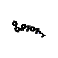 CN(C)C/C=C/C(=O)Nc1ccc(C(=O)Nc2cccc(Nc3cc(-c4ccncc4)ncn3)c2)cc1